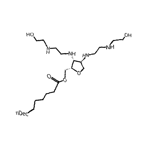 CCCCCCCCCCCCCCCC(=O)OC[C@H]1OC[C@H](NCCNCCO)[C@H]1NCCNCCO